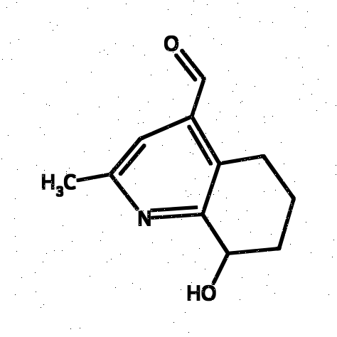 Cc1cc(C=O)c2c(n1)C(O)CCC2